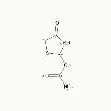 NC(=O)OC1NC(=O)CS1